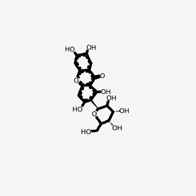 O=c1c2cc(O)c(O)cc2oc2cc(O)c([C@@H]3OC(CO)[C@@H](O)[C@@H](O)C3O)c(O)c12